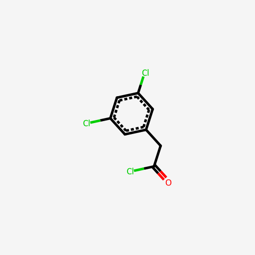 O=C(Cl)Cc1cc(Cl)cc(Cl)c1